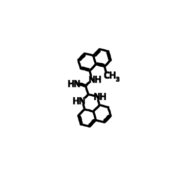 Cc1cccc2cccc(NC(=N)C3NC4C=CC=C5C=CCC(N3)C54)c12